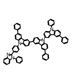 c1ccc(-c2ccc3c(c2)c2cc(-c4ccc5c(c4)c4cc(-c6ccccc6)ccc4n5-c4ccc5c(c4)c4cc(-c6ccccc6)ccc4n5-c4ccccc4)ccc2n3-c2ccc(-c3nc4ccccc4n3-c3ccccc3)cc2)cc1